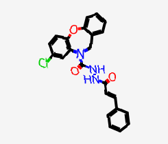 O=C(C=Cc1ccccc1)NNC(=O)N1Cc2ccccc2Oc2ccc(Cl)cc21